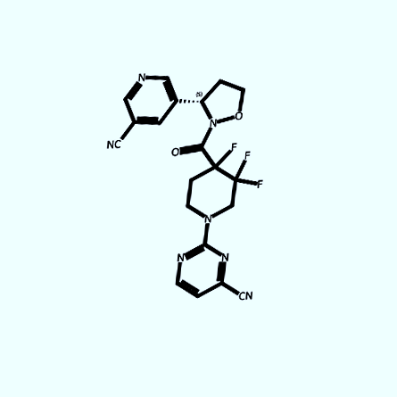 N#Cc1cncc([C@@H]2CCON2C(=O)C2(F)CCN(c3nccc(C#N)n3)CC2(F)F)c1